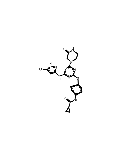 Cc1cc(Nc2nc(Sc3ccc(NC(=O)C4CC4)cc3)nc(N3CCNC(=O)C3)n2)n[nH]1